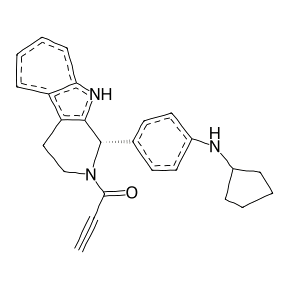 C#CC(=O)N1CCc2c([nH]c3ccccc23)[C@@H]1c1ccc(NC2CCCC2)cc1